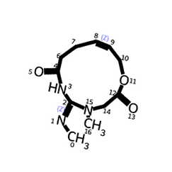 C/N=C1/NC(=O)CC/C=C\COC(=O)CN1C